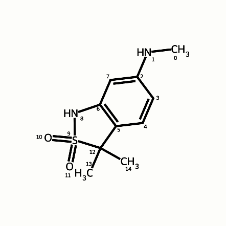 CNc1ccc2c(c1)NS(=O)(=O)C2(C)C